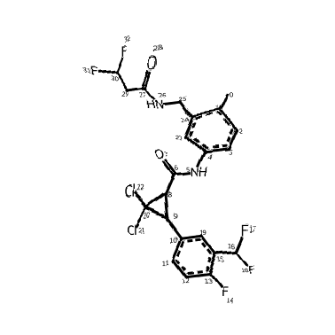 Cc1ccc(NC(=O)C2C(c3ccc(F)c(C(F)F)c3)C2(Cl)Cl)cc1CNC(=O)CC(F)F